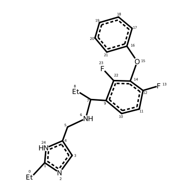 CCc1ncc(CNC(CC)c2ccc(F)c(Oc3ccccc3)c2F)[nH]1